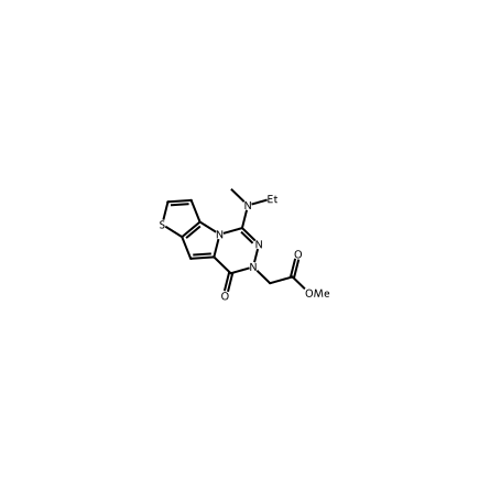 CCN(C)c1nn(CC(=O)OC)c(=O)c2cc3sccc3n12